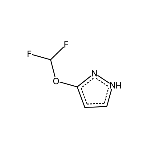 FC(F)Oc1cc[nH]n1